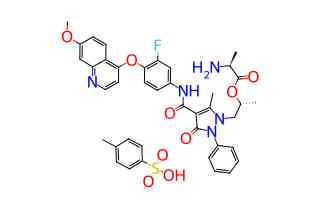 COc1ccc2c(Oc3ccc(NC(=O)c4c(C)n(C[C@@H](C)OC(=O)[C@H](C)N)n(-c5ccccc5)c4=O)cc3F)ccnc2c1.Cc1ccc(S(=O)(=O)O)cc1